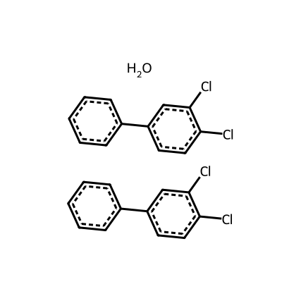 Clc1ccc(-c2ccccc2)cc1Cl.Clc1ccc(-c2ccccc2)cc1Cl.O